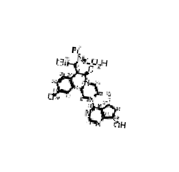 CC(C)N(C(=O)O)[C@@H](C(C(=O)N1CCN(c2ncnc3c2[C@H](C)C[C@H]3O)CC1)c1ccc(Cl)cc1)C(C)(C)C